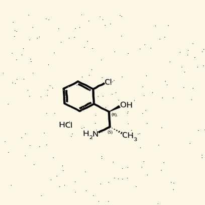 C[C@H](N)[C@H](O)c1ccccc1Cl.Cl